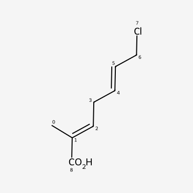 C/C(=C\C/C=C/CCl)C(=O)O